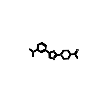 CC(=O)C1CCN(c2ncc(-c3cccc(N(C)C)c3)s2)CC1